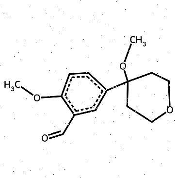 COc1ccc(C2(OC)CCOCC2)cc1C=O